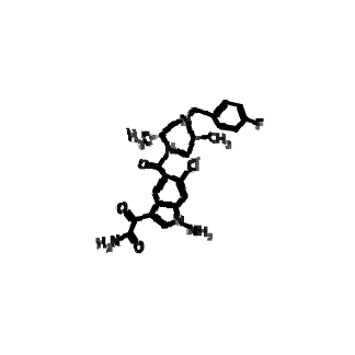 C[C@@H]1CN(Cc2ccc(F)cc2)[C@@H](C)CN1C(=O)c1cc2c(C(=O)C(N)=O)cn(N)c2cc1Cl